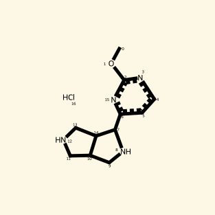 COc1nccc(C2NCC3CNCC32)n1.Cl